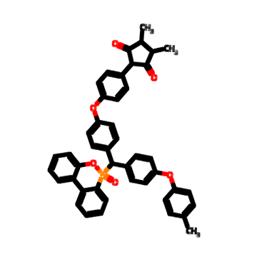 Cc1ccc(Oc2ccc(C(c3ccc(Oc4ccc(C5C(=O)C(C)C(C)C5=O)cc4)cc3)P3(=O)Oc4ccccc4-c4ccccc43)cc2)cc1